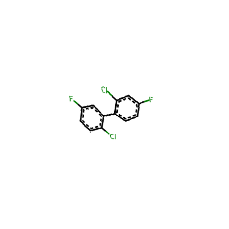 Fc1ccc(-c2cc(F)c[c]c2Cl)c(Cl)c1